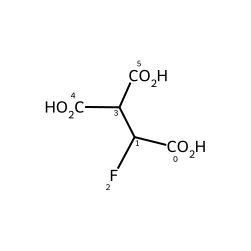 O=C(O)C(F)C(C(=O)O)C(=O)O